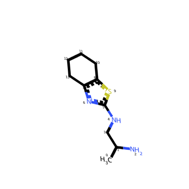 CC(N)CNc1nc2c(s1)CCCC2